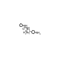 CC(N)C(CC(=O)NC(=O)Nc1ccccc1)c1ccc(N)cc1